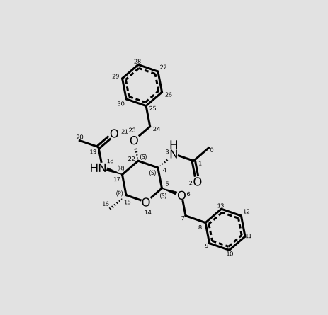 CC(=O)N[C@@H]1[C@@H](OCc2ccccc2)O[C@H](C)[C@@H](NC(C)=O)[C@@H]1OCc1ccccc1